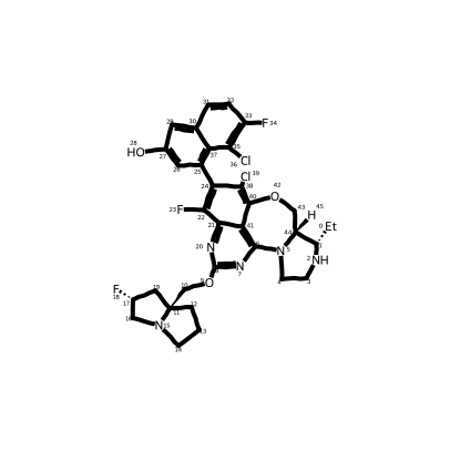 CC[C@@H]1NCCN2c3nc(OC[C@@]45CCCN4C[C@H](F)C5)nc4c(F)c(-c5cc(O)cc6ccc(F)c(Cl)c56)c(Cl)c(c34)OC[C@H]12